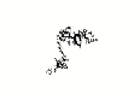 CNCCN(C)Cc1cccc(-c2cc(C(=O)NCCCCCC(=O)NCc3c(C)cc(C)[nH]c3=O)c3cnn(C(C)C)c3n2)c1